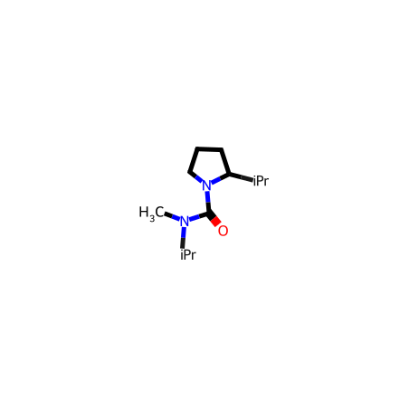 CC(C)C1CCCN1C(=O)N(C)C(C)C